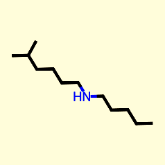 CCCCCNCCCCC(C)C